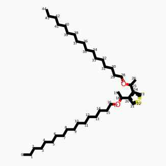 CCCCCCCCCCCCCCCCCOC(C)c1cscc1C(C)OCCCCCCCCCCCCCCCCC